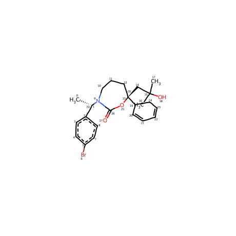 C[C@@H](c1ccc(Br)cc1)N1CCC[C@](CC(C)(C)O)(C2C=CC=CC2)OC1=O